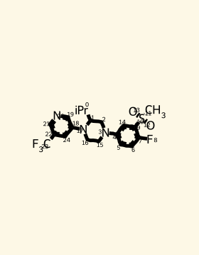 CC(C)C1CN(c2ccc(F)c(S(C)(=O)=O)c2)CCN1c1cncc(C(F)(F)F)c1